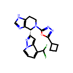 FC(F)c1cccn2nc([C@@H]3c4nc[nH]c4CCN3c3nnc(C4CCC4)o3)cc12